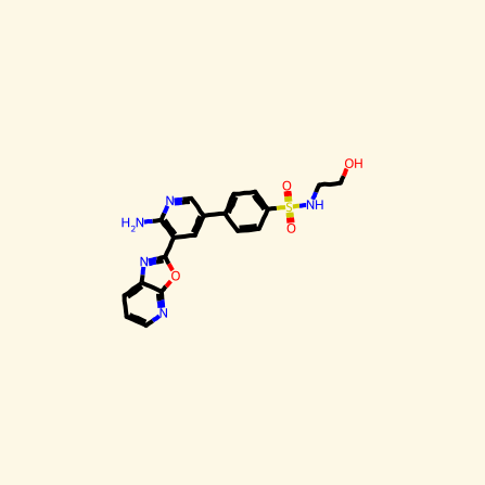 Nc1ncc(-c2ccc(S(=O)(=O)NCCO)cc2)cc1-c1nc2cccnc2o1